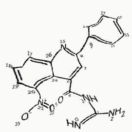 N=C(N)NC(=O)c1cc(-c2ccccc2)nc2cccc([N+](=O)[O-])c12